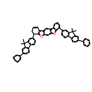 CC1(C)c2cc(-c3ccccc3)ccc2-c2ccc(-c3cccc4c3oc3cc5oc6c(c5cc34)C=CCC6c3ccc4c(c3)C(C)(C)c3cc(-c5ccccc5)ccc3-4)cc21